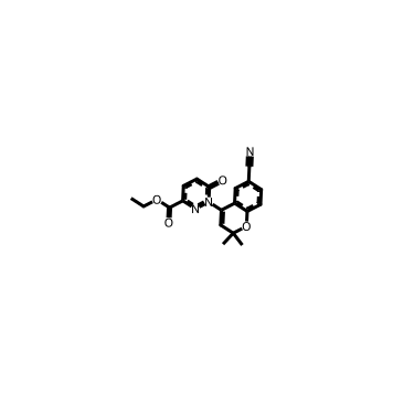 CCOC(=O)c1ccc(=O)n(C2=CC(C)(C)Oc3ccc(C#N)cc32)n1